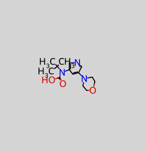 CC(C)(C)N(C(=O)O)c1cncc(N2CCOCC2)c1